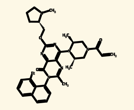 C=CC(=O)N1C[C@H](C)N(c2nc(OC[C@@H]3CCCN3C)nc3c(=O)n(-c4cccc5cccc(CC)c45)c(C)nc23)[C@@H](C)C1